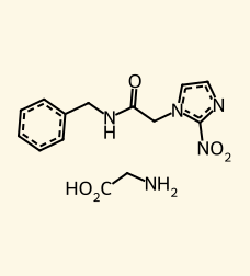 NCC(=O)O.O=C(Cn1ccnc1[N+](=O)[O-])NCc1ccccc1